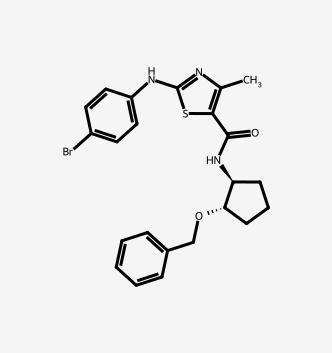 Cc1nc(Nc2ccc(Br)cc2)sc1C(=O)N[C@H]1CCC[C@@H]1OCc1ccccc1